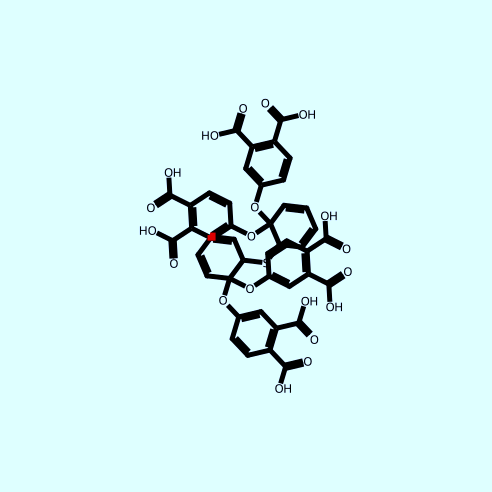 O=C(O)c1ccc(OC2(Oc3ccc(C(=O)O)c(C(=O)O)c3)C=CC=CC2SC2C=CC=CC2(Oc2ccc(C(=O)O)c(C(=O)O)c2)Oc2ccc(C(=O)O)c(C(=O)O)c2)cc1C(=O)O